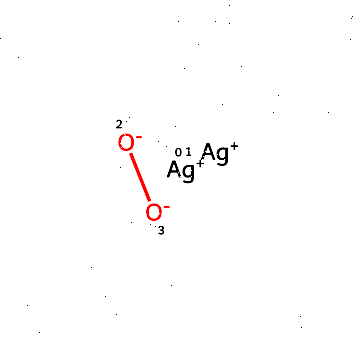 [Ag+].[Ag+].[O-][O-]